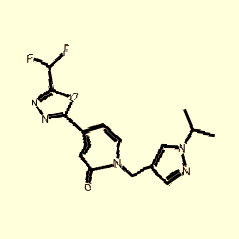 CC(C)n1cc(Cn2ccc(-c3nnc(C(F)F)o3)cc2=O)cn1